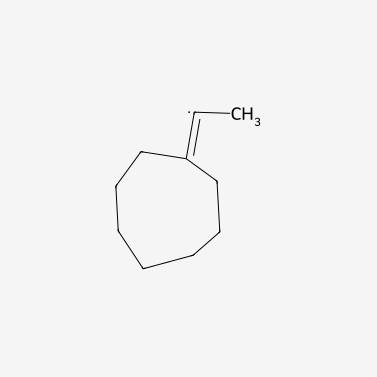 C[C]=C1CCCCCCC1